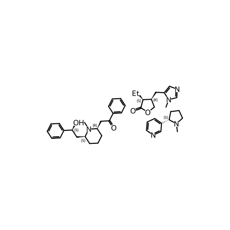 CC[C@@H]1C(=O)OC[C@@H]1Cc1cncn1C.CN1CCC[C@H]1c1cccnc1.CN1[C@@H](CC(=O)c2ccccc2)CCC[C@H]1C[C@H](O)c1ccccc1